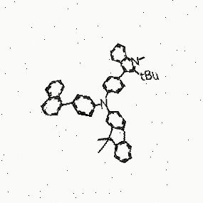 Cn1c(C(C)(C)C)c(-c2ccc(N(c3ccc(-c4cccc5ccccc45)cc3)c3ccc4c(c3)C(C)(C)c3ccccc3-4)cc2)c2ccccc21